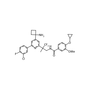 COc1cc(C(=O)NCC(C)(c2cc(C3(N)CCC3)cc(-c3ccc(F)c(Cl)c3)n2)C(F)(F)F)ccc1OC1CC1